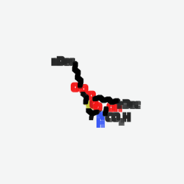 CCCCCCCCCCCCCCCC(=O)OC[C@H](CSC[C@H](C)C(=O)N[C@@H](CO)C(=O)O)OC(=O)CCCCCCCCCCCCCCC